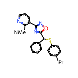 CNc1ncccc1-c1noc(C(Sc2ccc(C(C)C)cc2)c2ccccc2)n1